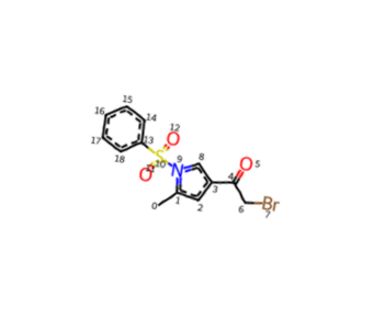 Cc1cc(C(=O)CBr)cn1S(=O)(=O)c1ccccc1